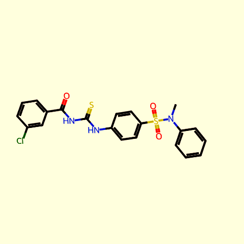 CN(c1ccccc1)S(=O)(=O)c1ccc(NC(=S)NC(=O)c2cccc(Cl)c2)cc1